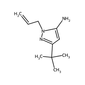 C=CCn1nc(C(C)(C)C)cc1N